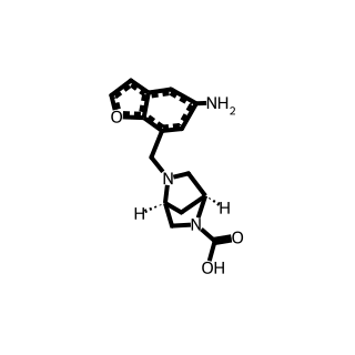 Nc1cc(CN2C[C@@H]3C[C@H]2CN3C(=O)O)c2occc2c1